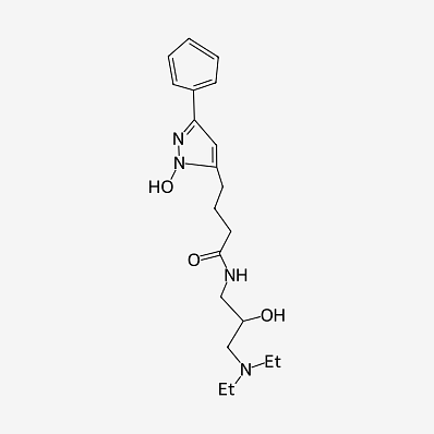 CCN(CC)CC(O)CNC(=O)CCCc1cc(-c2ccccc2)nn1O